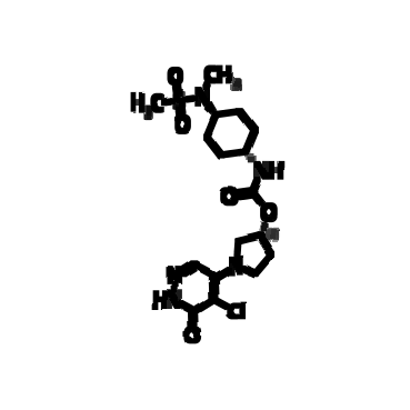 CN([C@H]1CC[C@H](NC(=O)O[C@@H]2CCN(c3cn[nH]c(=O)c3Cl)C2)CC1)S(C)(=O)=O